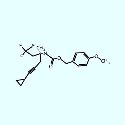 COc1ccc(COC(=O)N[C@@](C)(CC#CC2CC2)CC(F)(F)F)cc1